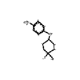 O=[N+]([O-])c1ccc(OC2CCC(F)(F)CC2)cc1